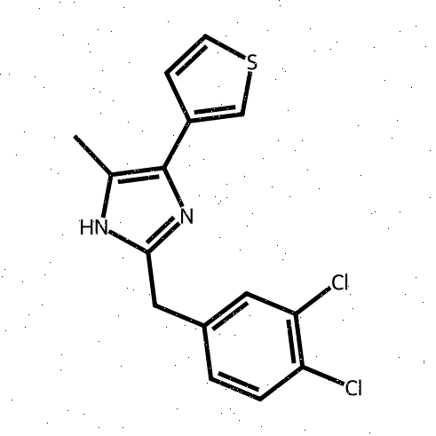 Cc1[nH]c(Cc2ccc(Cl)c(Cl)c2)nc1-c1ccsc1